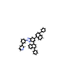 c1ccc(-c2ccc(-c3cc(-c4ccc(-c5ccccc5)c5ccccc45)c4nn(-c5cccc(-c6cccnc6)c5)nc4c3)c3ccccc23)cc1